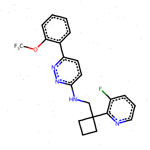 Fc1cccnc1C1(CNc2ccc(-c3ccccc3OC(F)(F)F)nn2)CCC1